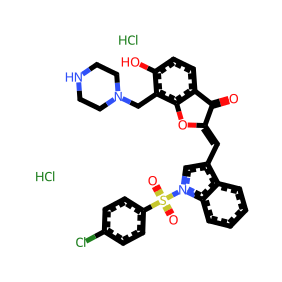 Cl.Cl.O=C1C(=Cc2cn(S(=O)(=O)c3ccc(Cl)cc3)c3ccccc23)Oc2c1ccc(O)c2CN1CCNCC1